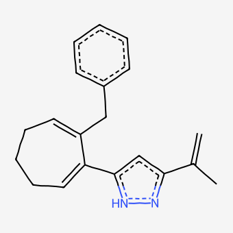 C=C(C)c1cc(C2=CCCCC=C2Cc2ccccc2)[nH]n1